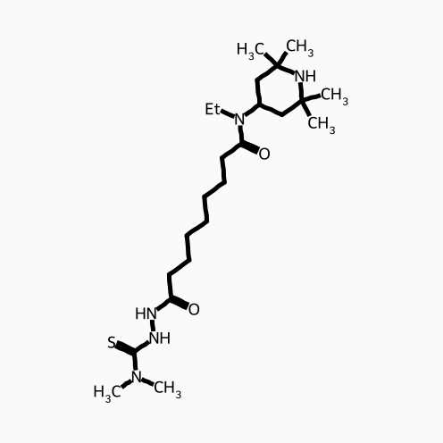 CCN(C(=O)CCCCCCCC(=O)NNC(=S)N(C)C)C1CC(C)(C)NC(C)(C)C1